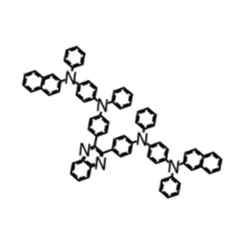 c1ccc(N(c2ccc(-c3nc4ccccc4nc3-c3ccc(N(c4ccccc4)c4ccc(N(c5ccccc5)c5ccc6ccccc6c5)cc4)cc3)cc2)c2ccc(N(c3ccccc3)c3ccc4ccccc4c3)cc2)cc1